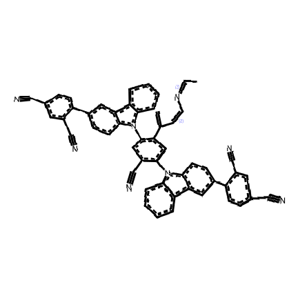 C=C(/C=C\N=C/C)c1cc(-n2c3ccccc3c3cc(-c4ccc(C#N)cc4C#N)ccc32)c(C#N)cc1-n1c2ccccc2c2cc(-c3ccc(C#N)cc3C#N)ccc21